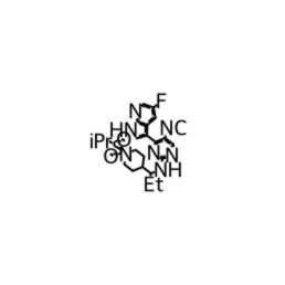 [C-]#[N+]c1cnc(NC(CC)C2CCN(S(=O)(=O)C(C)C)CC2)nc1-c1c[nH]c2ncc(F)cc12